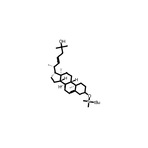 C[C@H](/C=C/CC(C)(C)O)[C@H]1CC[C@H]2[C@@H]3CC=C4CC(O[Si](C)(C)C(C)(C)C)CC[C@]4(C)[C@H]3CC[C@]12C